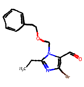 CCc1nc(Br)c(C=O)n1COCc1ccccc1